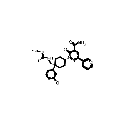 CC(C)(C)OC(=O)NC[C@]1(c2cccc(Cl)c2)CC[C@@H](n2nc(-c3cccnc3)cc(C(N)=O)c2=O)CC1